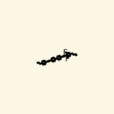 C=CCCc1cc(F)c(C#Cc2ccc(-c3ccc(C#Cc4ccc(CCC)cc4)cc3)cc2)c(F)c1